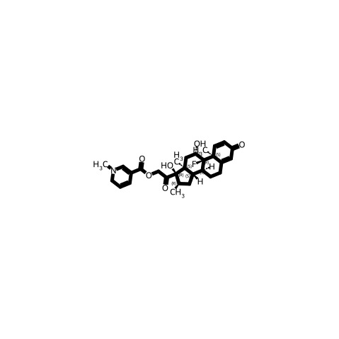 C[C@@H]1C[C@H]2[C@@H]3CCC4=CC(=O)C=C[C@]4(C)[C@@]3(F)[C@@H](O)C[C@]2(C)[C@@]1(O)C(=O)COC(=O)C1=CN(C)CC=C1